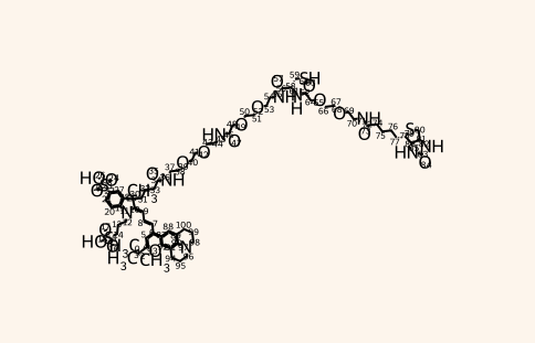 CC(C)(C)c1cc(/C=C/C=C2\N(CCCS(=O)(=O)O)c3ccc(S(=O)(=O)O)cc3C2(C)CCCC(=O)NCCOCCOCCNC(=O)COCCOCCNC(=O)[C@H](CS)NC(=O)COCCOCCNC(=O)CCCC[C@@H]2SCC3NC(=O)NC32)c2cc3c4c(c2[o+]1)CCCN4CCC3